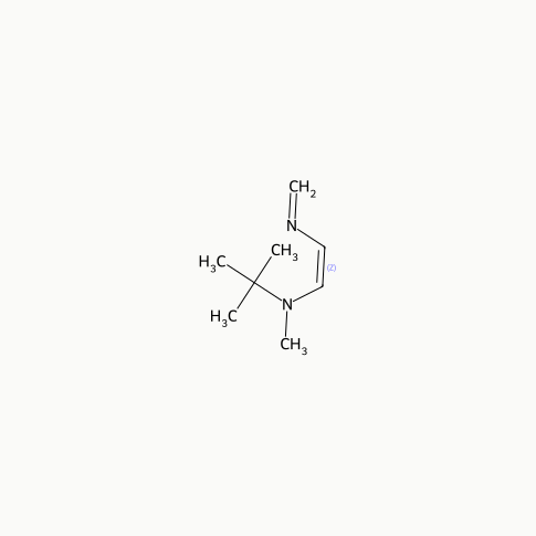 C=N/C=C\N(C)C(C)(C)C